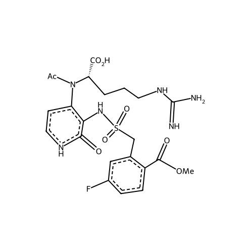 COC(=O)c1ccc(F)cc1CS(=O)(=O)Nc1c(N(C(C)=O)[C@@H](CCCNC(=N)N)C(=O)O)cc[nH]c1=O